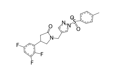 Cc1ccc(S(=O)(=O)n2cc(CN3CC(c4cc(F)cc(F)c4F)CC3=O)cn2)cc1